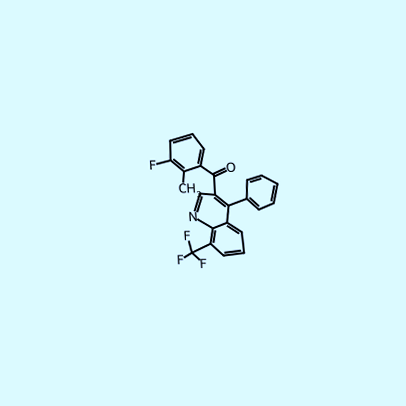 Cc1c(F)cccc1C(=O)c1cnc2c(C(F)(F)F)cccc2c1-c1ccccc1